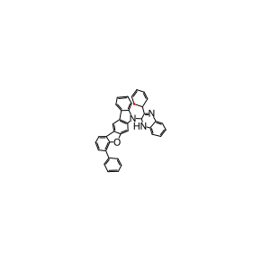 C1=CCC(C2=Nc3ccccc3NC2n2c3ccccc3c3cc4c(cc32)oc2c(-c3ccccc3)cccc24)C=C1